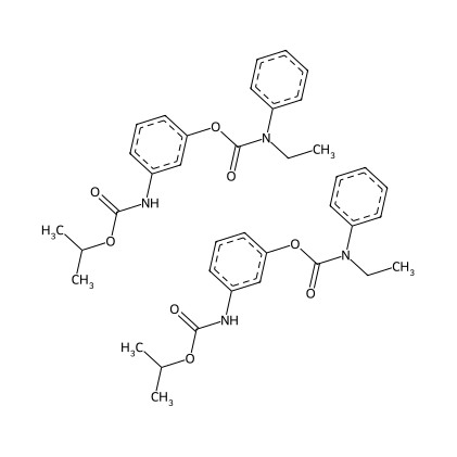 CCN(C(=O)Oc1cccc(NC(=O)OC(C)C)c1)c1ccccc1.CCN(C(=O)Oc1cccc(NC(=O)OC(C)C)c1)c1ccccc1